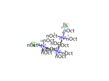 CCCCCCCC[N+](CCCCCCCC)(CCCCCCCC)CCCCCCCC.CCCCCCCC[N+](CCCCCCCC)(CCCCCCCC)CCCCCCCC.CCCCCCCC[N+](CCCCCCCC)(CCCCCCCC)CCCCCCCC.[Br-].[Cl-].[F-]